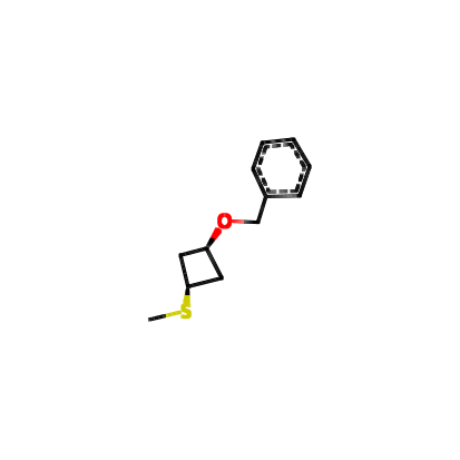 CS[C@H]1C[C@@H](OCc2ccccc2)C1